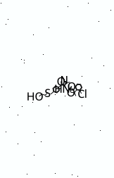 Cc1noc(-c2ccc(CSCCO)cc2)c1NC(=O)OC(C)c1ccccc1Cl